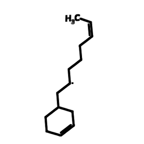 C/C=C\CCC[CH]CC1CC=CCC1